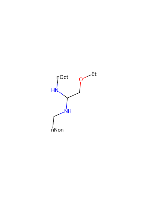 CCCCCCCCCCNC(COCC)NCCCCCCCC